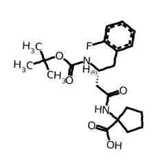 CC(C)(C)OC(=O)N[C@@H](CC(=O)NC1(C(=O)O)CCCC1)Cc1ccccc1F